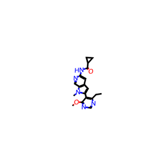 CCc1ncnc(OC)c1-c1cc2cc(NC(=O)C3CC3)ncc2n1C